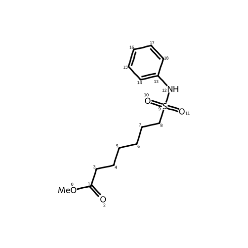 COC(=O)CCCCCCS(=O)(=O)Nc1ccccc1